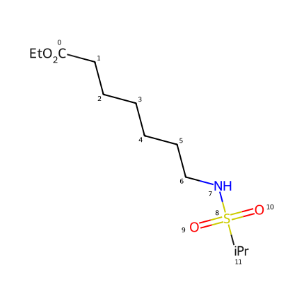 CCOC(=O)CCCCCCNS(=O)(=O)C(C)C